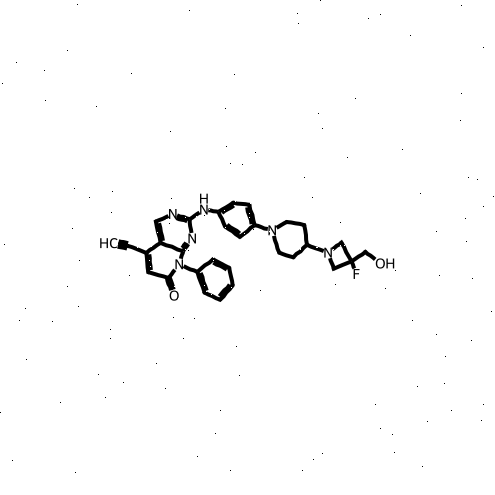 C#Cc1cc(=O)n(-c2ccccc2)c2nc(Nc3ccc(N4CCC(N5CC(F)(CO)C5)CC4)cc3)ncc12